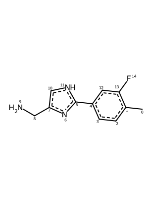 Cc1ccc(-c2nc(CN)c[nH]2)cc1F